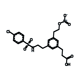 O=C(O)CCc1cc(CCNS(=O)(=O)c2ccc(Cl)cc2)cc(CCO[N+](=O)[O-])c1